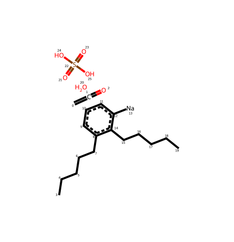 C=C=O.CCCCCc1ccc[c]([Na])c1CCCCC.O.O=S(=O)(O)O